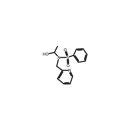 CC(O)N(Cc1ccccn1)S(=O)(=O)c1ccccc1